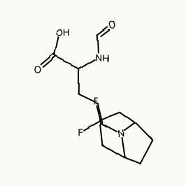 O=CNC(CCCN1C2CCC1CC(F)(F)C2)C(=O)O